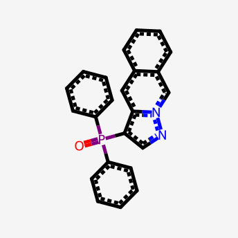 O=P(c1ccccc1)(c1ccccc1)c1cnn2cc3ccccc3cc12